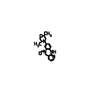 CC1CN(c2ccc3c(c2)N(C=O)Cc2cccnc2N3)C(C)CO1